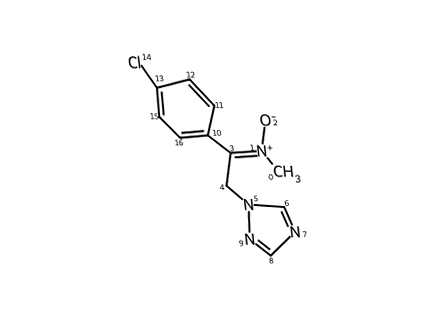 C[N+]([O-])=C(Cn1cncn1)c1ccc(Cl)cc1